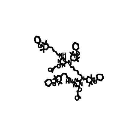 CC1(C)CC(CCCCNc2nc(OCC3CO3)nc(N(CCCCCCN(c3nc(NCCCCC4CC(C)(C)N(OC5CCCCC5)C(C)(C)C4)nc(OCC4CO4)n3)C3CC(C)(C)N(OC4CCCCC4)C(C)(C)C3)C3CC(C)(C)N(OC4CCCCC4)C(C)(C)C3)n2)CC(C)(C)N1OC1CCCCC1